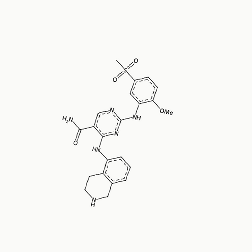 COc1ccc(S(C)(=O)=O)cc1Nc1ncc(C(N)=O)c(Nc2cccc3c2CCNC3)n1